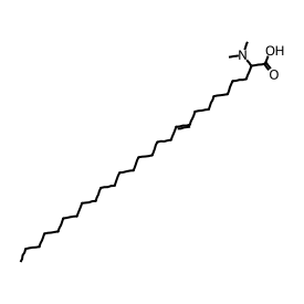 CCCCCCCCCCCCCCCCCC=CCCCCCCC(C(=O)O)N(C)C